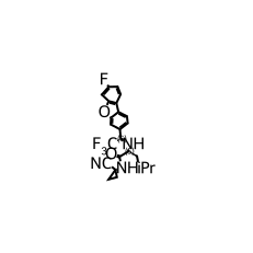 CC(C)C[C@H](N[C@@H](c1ccc2c(c1)oc1cc(F)ccc12)C(F)(F)F)C(=O)NC1(C#N)CC1